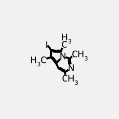 Cc1cc2c(C)c(I)c(C)n2c(C)n1